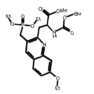 CCOc1ccc2cc(CP(=O)(OCC)OCC)c(CC(NC(=O)OC(C)(C)C)C(=O)OC)nc2c1